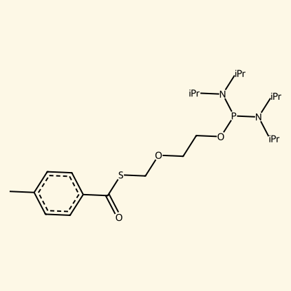 Cc1ccc(C(=O)SCOCCOP(N(C(C)C)C(C)C)N(C(C)C)C(C)C)cc1